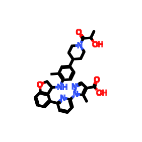 Cc1cc(C2CCN(C(=O)C(C)O)CC2)ccc1NC1COc2cccc(-c3cccc(-n4ncc(C(=O)O)c4C)n3)c21